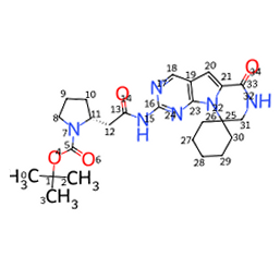 CC(C)(C)OC(=O)N1CCC[C@@H]1CC(=O)Nc1ncc2cc3n(c2n1)C1(CCCCC1)CNC3=O